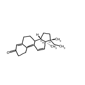 CC[C@@]1(C)CC[C@H]2C3CCC4=CC(=O)CCC4=C3C=C[C@@]21C